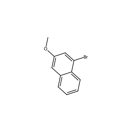 COc1[c]c2ccccc2c(Br)c1